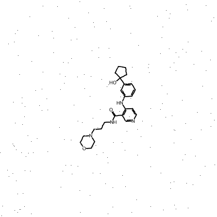 O=C(NCCCN1CCOCC1)c1cnccc1Nc1cccc(C2(O)CCCC2)c1